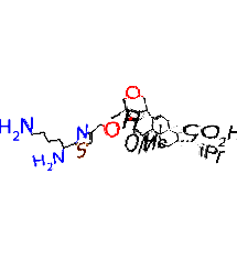 CO[C@@H]1C[C@@]23COC[C@](C)([C@@H]2CC[C@H]2C3=CC[C@@]3(C)[C@H](C(=O)O)[C@@](C)([C@H](C)C(C)C)CC[C@]23C)[C@H]1OCc1csc([C@@H](N)CCCCN)n1